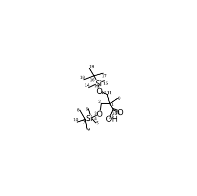 CC(CO[Si](C)(C)C(C)(C)C)(CO[Si](C)(C)C(C)(C)C)C(=O)O